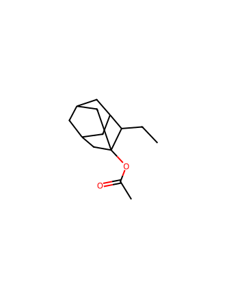 CCC1C2CC3CC(C2)CC1(OC(C)=O)C3